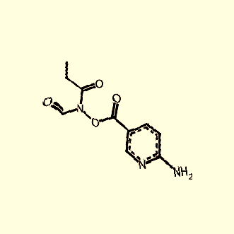 CCC(=O)N(C=O)OC(=O)c1ccc(N)nc1